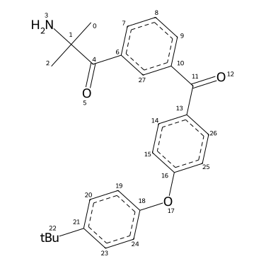 CC(C)(N)C(=O)c1cccc(C(=O)c2ccc(Oc3ccc(C(C)(C)C)cc3)cc2)c1